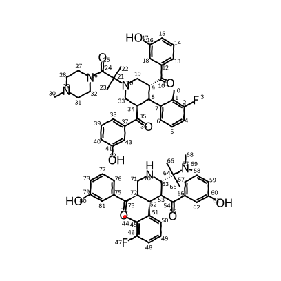 Cc1c(F)cccc1C1[C@@H](C(=O)c2cccc(O)c2)CN(C(C)(C)C(=O)N2CCN(C)CC2)C[C@@H]1C(=O)c1cccc(O)c1.Cc1c(F)cccc1[C@@H]1C(C(=O)c2cccc(O)c2)[C@@H](C(C)(C)N(C)C)NC[C@@H]1C(=O)c1cccc(O)c1